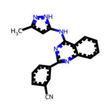 Cc1cc(Nc2nc(-c3cccc(C#N)c3)nc3ccccc23)[nH]n1